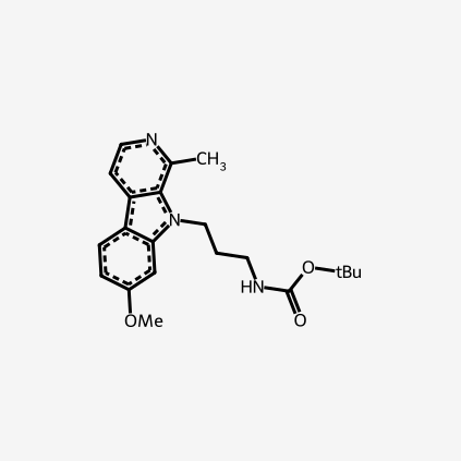 COc1ccc2c3ccnc(C)c3n(CCCNC(=O)OC(C)(C)C)c2c1